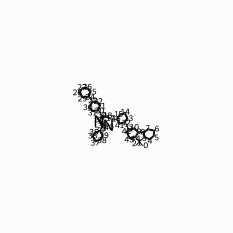 CC1(C)c2ccccc2-c2cc(-c3cccc(-c4cc(-c5ccc(-c6ccccc6)cc5)nc(-c5ccccc5)n4)c3)ccc21